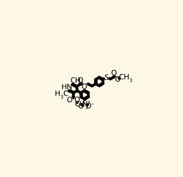 COC(=O)CSc1ccc(CCOC(=O)C2=C(C)NC(C)=C(C(=O)OC)C2c2cccc([N+](=O)[O-])c2)cc1